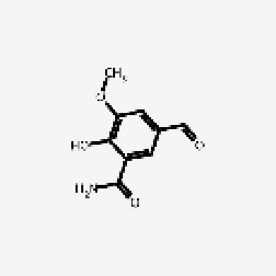 COc1cc(C=O)cc(C(N)=O)c1O